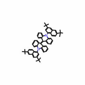 CC(C)(C)c1ccc2c(N3c4ccccc4C(=C4c5ccccc5N(c5cc(C(C)(C)C)cc6cc(C(C)(C)C)ccc56)c5ccccc54)c4ccccc43)cc(C(C)(C)C)cc2c1